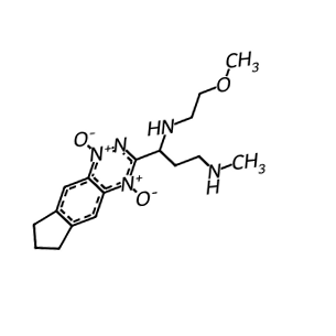 CNCCC(NCCOC)c1n[n+]([O-])c2cc3c(cc2[n+]1[O-])CCC3